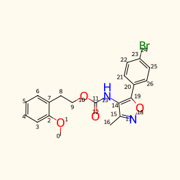 COc1ccccc1CCOC(=O)Nc1c(C)noc1-c1ccc(Br)cc1